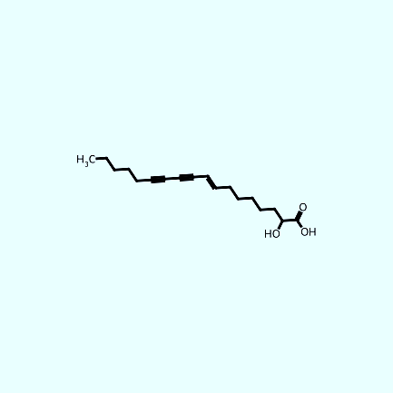 CCCCCC#CC#CC=CCCCCCC(O)C(=O)O